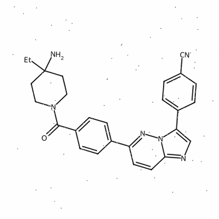 CCC1(N)CCN(C(=O)c2ccc(-c3ccc4ncc(-c5ccc(C#N)cc5)n4n3)cc2)CC1